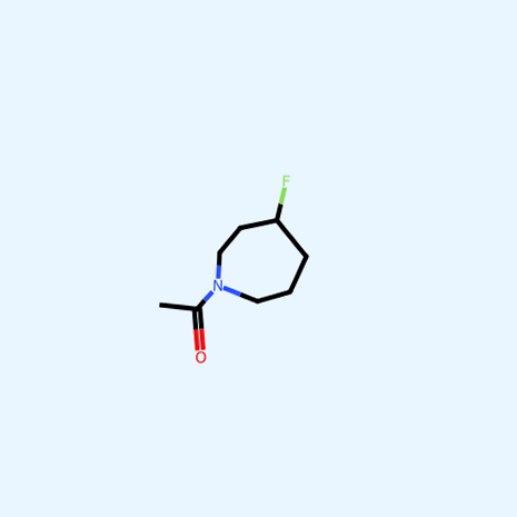 CC(=O)N1CCCC(F)CC1